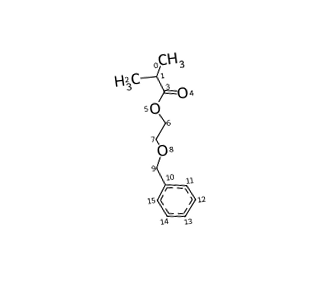 CC(C)C(=O)OCCOCc1ccccc1